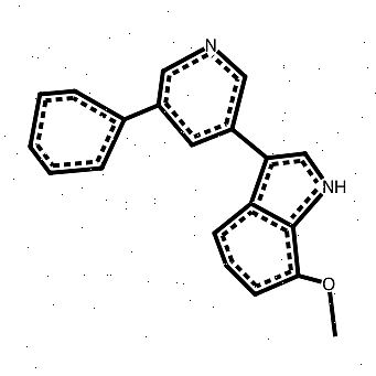 COc1cccc2c(-c3cncc(-c4ccccc4)c3)c[nH]c12